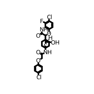 NC(=O)C(Oc1ccc(Cl)c(F)c1)C12CCC(NC(=O)COc3ccc(Cl)cc3)(CC1)C[C@@H]2O